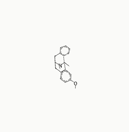 COc1ccc2c(c1)C1(C)c3ccccc3CC(C2)N1C